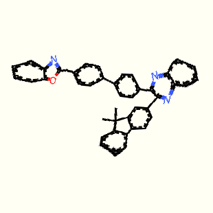 CC1(C)c2ccccc2-c2ccc(-c3nc4ccccc4nc3-c3ccc(-c4ccc(-c5nc6ccccc6o5)cc4)cc3)cc21